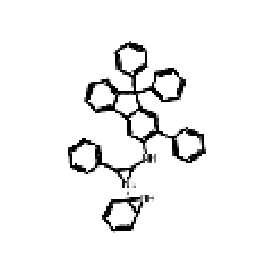 C1=CC2NC2([N@@]2C(Nc3cc4c(cc3-c3ccccc3)C(c3ccccc3)(c3ccccc3)c3ccccc3-4)C2c2ccccc2)C=C1